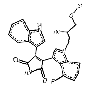 CCOCC(O)Cn1cc(C2=C(c3c[nH]c4ccccc34)C(=O)NC2=O)c2c(F)cccc21